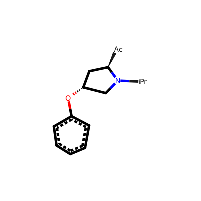 CC(=O)[C@@H]1C[C@@H](Oc2ccccc2)CN1C(C)C